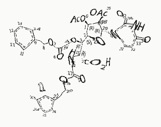 CC(=O)O[C@@H]1[C@H]([C@H](OC(=O)OCc2ccccc2)[C@@H](NC(=O)OCc2ccccc2)C(=O)O)O[C@@H](n2ccc(=O)[nH]c2=O)[C@@H]1OC(C)=O